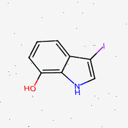 Oc1cccc2c(I)c[nH]c12